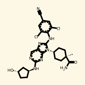 C[C@]1(C(N)=O)CC[C@H](n2c(Nc3c(Cl)cc(C#N)cc3Cl)nc3cnc(N[C@H]4CC[C@H](O)C4)nc32)CC1